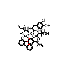 C=C[C@@H](C)[C@H](OC(=O)C(NC(=O)C(Cc1cc(Cl)c(O)c(Cl)c1)NC(=O)C([C@@H](C)CC)N(C)C(=O)OCC1c2ccccc2-c2ccccc21)C(C)(C)O)c1ccccc1